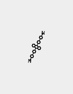 N#Cc1ccc(-c2ccc(-c3c4ccccc4c(-c4ccc(-c5ccc(C#N)cc5)cc4)c4ccccc34)cc2)cc1